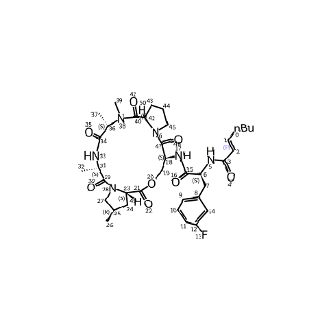 CCCC/C=C/C(=O)N[C@@H](Cc1cccc(F)c1)C(=O)N[C@H]1COC(=O)[C@@H]2C[C@@H](C)CN2C(=O)[C@H](C)NC(=O)[C@H](C)N(C)C(=O)[C@@H]2CCCN2C1=O